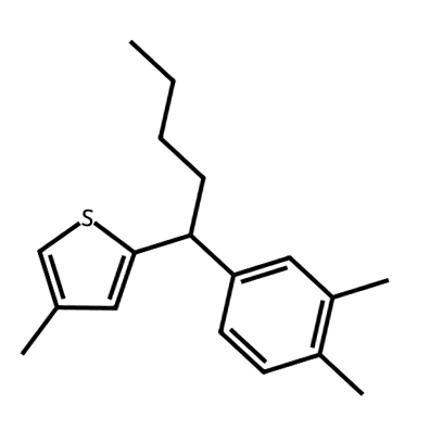 CCCCC(c1ccc(C)c(C)c1)c1cc(C)cs1